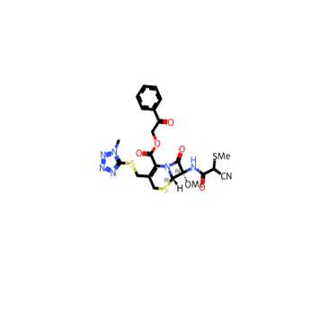 CO[C@@]1(NC(=O)C(C#N)SC)C(=O)N2C(C(=O)OCC(=O)c3ccccc3)=C(CSc3nnnn3C)CS[C@H]21